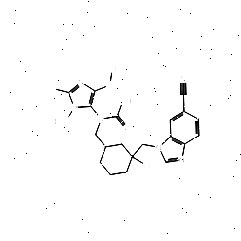 COc1nc(C)n(C)c1N(CC1CCCC(C)(Cn2cnc3ccc(C#N)cc32)C1)C(=O)O